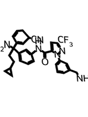 N#CC1C=C(C(N)(CCC2CC2)c2cccc(NC(=O)c3cc(C(F)(F)F)nn3-c3cccc(CN)c3)c2)C=CC1